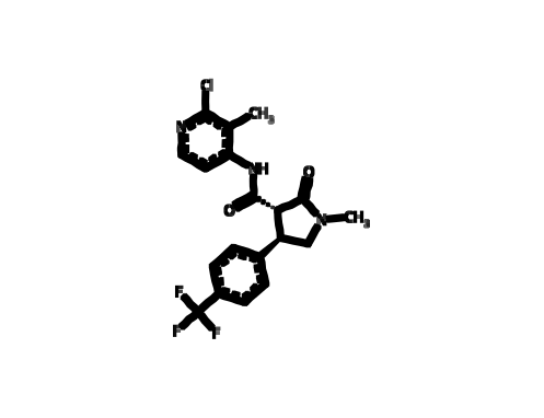 Cc1c(NC(=O)[C@@H]2C(=O)N(C)C[C@H]2c2ccc(C(F)(F)F)cc2)ccnc1Cl